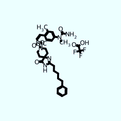 Cc1cc(N(C)C(N)=O)cc(C)c1/C=C\S(=O)(=O)N1CCC2(CC1)N=C(CCCCCc1ccccc1)NC2=O.O=C(O)C(F)(F)F